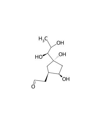 CC(O)[C@H](O)[C@]1(O)C[C@H](CC=O)[C@H](O)C1